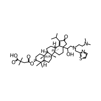 CC(C)C1=C2[C@H]3CC[C@@H]4[C@@]5(C)CC[C@H](OC(=O)CC(C)(C)C(=O)O)C(C)(C)[C@@H]5CC[C@@]4(C)[C@]3(C)CCC2(C(O)CN(CCN(C)C)Cc2nccs2)CC1=O